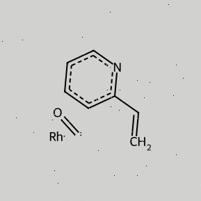 C=Cc1ccccn1.[C]=O.[Rh]